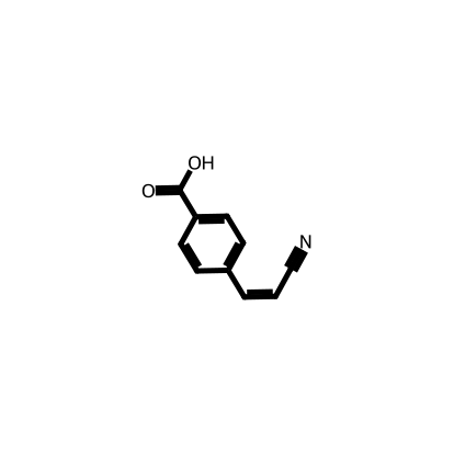 N#C/C=C\c1ccc(C(=O)O)cc1